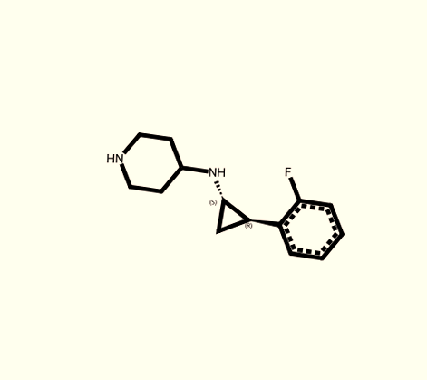 Fc1ccccc1[C@H]1C[C@@H]1NC1CCNCC1